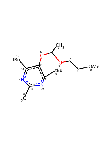 COCCOC(C)Oc1c(C(C)(C)C)nc(C)nc1C(C)(C)C